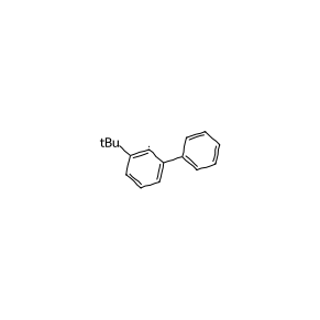 CC(C)(C)c1[c]c(-c2ccccc2)ccc1